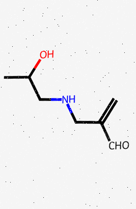 C=C(C=O)CNCC(C)O